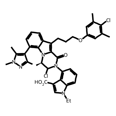 CCn1cc(C(=O)O)c2c(N3C(=O)c4c(CCCOc5cc(C)c(Cl)c(C)c5)c5cccc(-c6c(C)nn(C)c6C)c5n4[C@H](C)C3Cl)cccc21